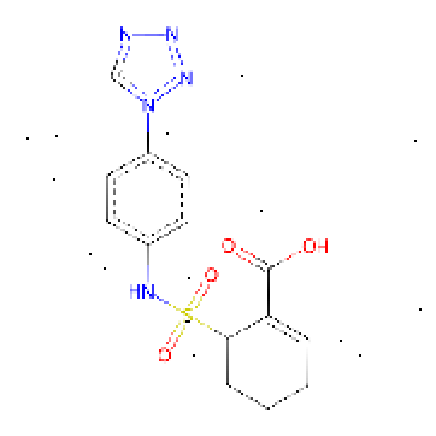 O=C(O)C1=CCCCC1S(=O)(=O)Nc1ccc(-n2cnnn2)cc1